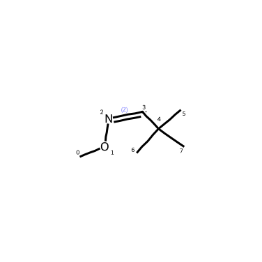 CO/N=[C]\C(C)(C)C